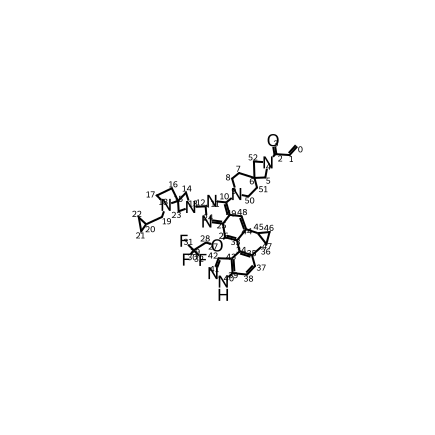 C=CC(=O)N1CC2(CCN(c3nc(N4CC5(CCN5CC5CC5)C4)nc4c(OCC(F)(F)F)c(-c5c(C)ccc6[nH]ncc56)c(C5CC5)cc34)CC2)C1